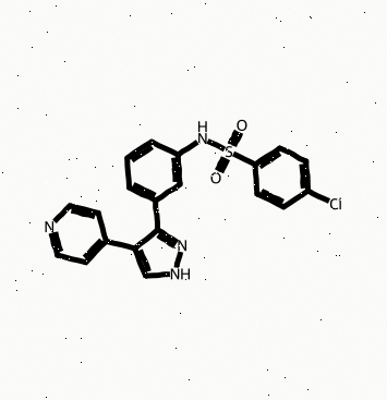 O=S(=O)(Nc1cccc(-c2n[nH]cc2-c2ccncc2)c1)c1ccc(Cl)cc1